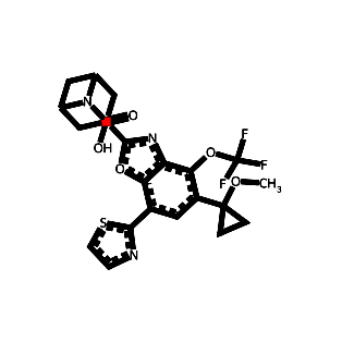 COC1(c2cc(-c3nccs3)c3oc(N4CC5CC(C4)N5C(=O)O)nc3c2OC(F)(F)F)CC1